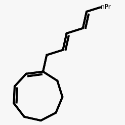 CCCC=CC=CCC1=CC=CCCCCC1